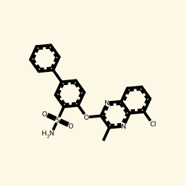 Cc1nc2c(Cl)cccc2nc1Oc1ccc(-c2ccccc2)cc1S(N)(=O)=O